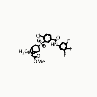 COC(=O)C[C@@]1(O)C2CC(S(=O)(=O)c3cc(C(=O)Nc4cc(F)c(F)c(F)c4)ccc3Cl)CC1[C@@H](C)C2